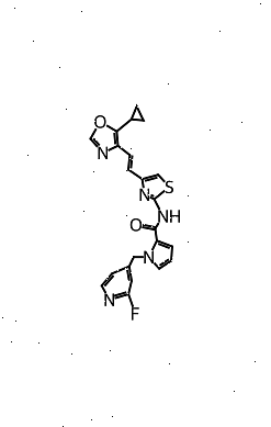 O=C(Nc1nc(C=Cc2ncoc2C2CC2)cs1)c1cccn1Cc1ccnc(F)c1